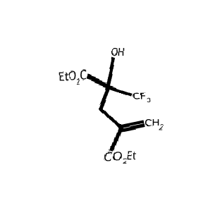 C=C(CC(O)(C(=O)OCC)C(F)(F)F)C(=O)OCC